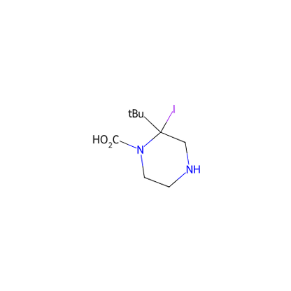 CC(C)(C)C1(I)CNCCN1C(=O)O